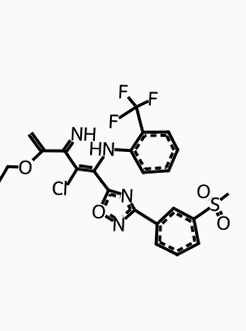 C=C(OCC)C(=N)/C(Cl)=C(\Nc1ccccc1C(F)(F)F)c1nc(-c2cccc(S(C)(=O)=O)c2)no1